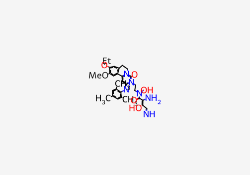 CCOc1cc2c(cc1OC)-c1c/c(=N\c3c(C)cc(C)cc3C)n(CCN(O)C(=O)/C(N)=C(\O)C=N)c(=O)n1CC2